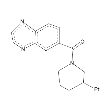 CCC1CCCN(C(=O)c2ccc3nccnc3c2)C1